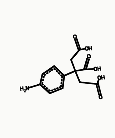 Nc1ccc(C(CC(=O)O)(CC(=O)O)C(=O)O)cc1